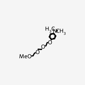 COCCOCCOCCOc1ccc(N(C)C)cc1